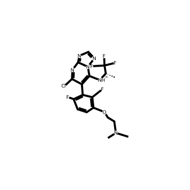 C[C@H](Nc1c(-c2c(F)ccc(OCCN(C)C)c2F)c(Cl)nc2ncnn12)C(F)(F)F